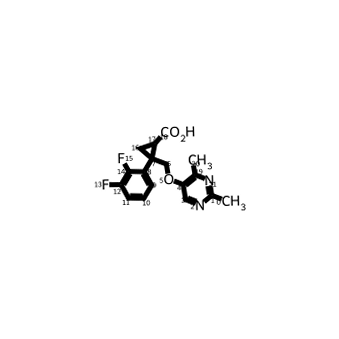 Cc1ncc(OCC2(c3cccc(F)c3F)CC2C(=O)O)c(C)n1